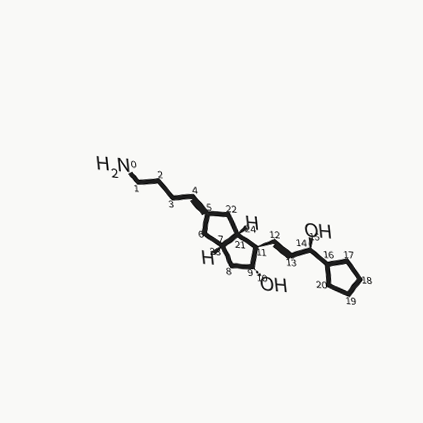 NCCC/C=C1\C[C@H]2C[C@@H](O)[C@H](/C=C/[C@@H](O)C3CCCC3)[C@H]2C1